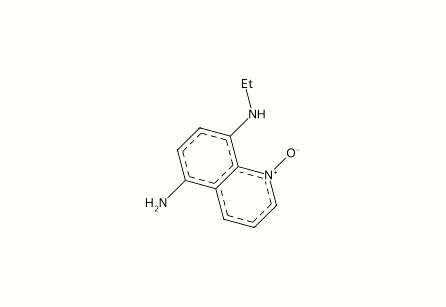 CCNc1ccc(N)c2ccc[n+]([O-])c12